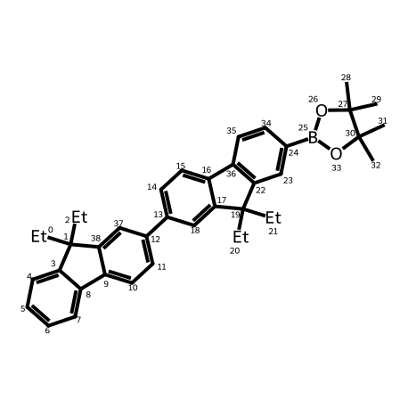 CCC1(CC)c2ccccc2-c2ccc(-c3ccc4c(c3)C(CC)(CC)c3cc(B5OC(C)(C)C(C)(C)O5)ccc3-4)cc21